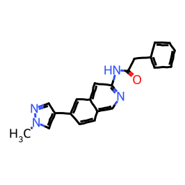 Cn1cc(-c2ccc3cnc(NC(=O)Cc4ccccc4)cc3c2)cn1